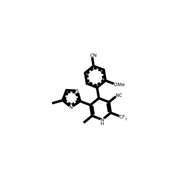 [C-]#[N+]C1=C(C(F)(F)F)NC(C)=C(c2nc(C)cs2)C1c1ccc(C#N)cc1OC